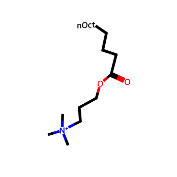 CCCCCCCCCCCC(=O)OCCC[N+](C)(C)C